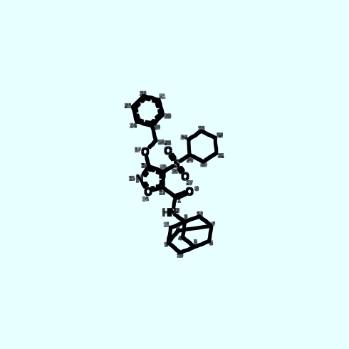 O=C(NC12CC3CC(CC(C3)C1)C2)c1onc(OCc2ccccc2)c1S(=O)(=O)C1CCCCC1